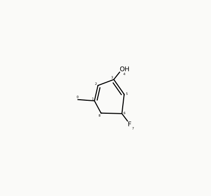 CC1=CC(O)=CC(F)C1